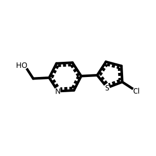 OCc1ccc(-c2ccc(Cl)s2)cn1